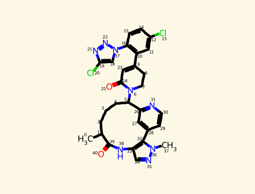 CC1CCCC(N2CCC(c3cc(Cl)ccc3-n3cc(Cl)nn3)=CC2=O)c2cc(ccn2)-c2c(cnn2C)NC1=O